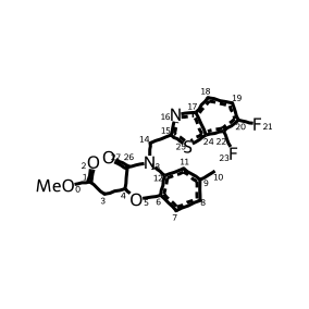 COC(=O)CC1Oc2ccc(C)cc2N(Cc2nc3ccc(F)c(F)c3s2)C1=O